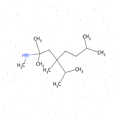 CNC(C)(C)CC(C)(CCC(C)C)C(C)C